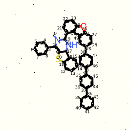 CN1C(c2ccccc2)=C2Sc3ccccc3C2NC1c1cccc2oc3ccc(-c4ccc(-c5ccc(-c6ccccc6)cc5)cc4)cc3c12